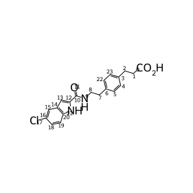 O=C(O)CCc1ccc(CCNC(=O)c2cc3cc(Cl)ccc3[nH]2)cc1